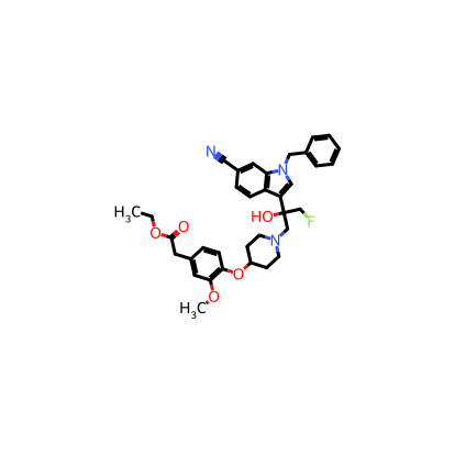 CCOC(=O)Cc1ccc(OC2CCN(CC(O)(CF)c3cn(Cc4ccccc4)c4cc(C#N)ccc34)CC2)c(OC)c1